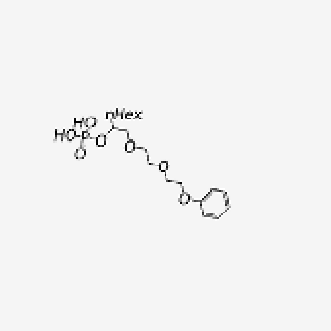 CCCCCCC(COCCOCCOc1ccccc1)OP(=O)(O)O